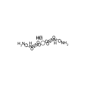 Cl.Cl.Nc1ccc(CNC(=O)N2CCN(C(=O)O[C@H]3CCC[C@@H](OC(=O)N4CCN(C(=O)NCc5ccc(N)cc5)CC4)CCC3)CC2)cc1